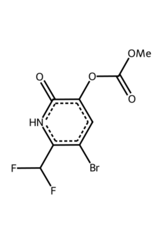 COC(=O)Oc1cc(Br)c(C(F)F)[nH]c1=O